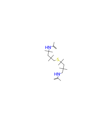 C=C(C)NCC(C)(C)CC(C)(C)SCC(C)(C)CC(C)(C)NC(=C)C